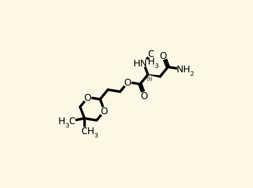 CN[C@@H](CC(N)=O)C(=O)OCCC1OCC(C)(C)CO1